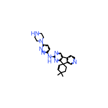 CC1(C)C=CC2(CC1)c1cnccc1-c1cnc(Nc3ccc(N4CCNCC4)nn3)nc12